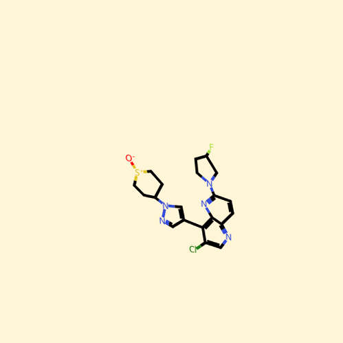 [O-][S+]1CCC(n2cc(-c3c(Cl)cnc4ccc(N5CCC(F)C5)nc34)cn2)CC1